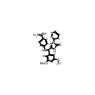 CCOc1cc(OC)c(F)c(C(Nc2ccc(C(=N)N)cc2)c2nn(C3CC=CN=N3)c(=O)[nH]2)c1